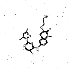 Cc1cc(C)n(-c2ncc(Cl)c(Nc3ccc4c(c3)cc(OCCO)c(=O)n4C)n2)n1